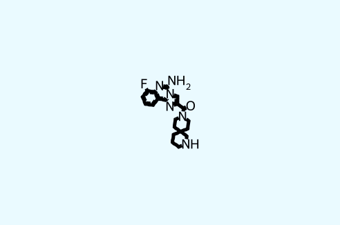 Nc1nc2c(F)cccc2c2nc(C(=O)N3CCC4(CCCNC4)CC3)cn12